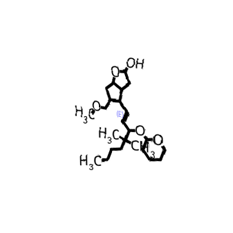 CCCCC(C)(C)C(/C=C/C1C(COC)CC2OC(O)CC21)OC1CCCCO1